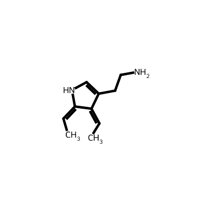 C/C=c1/c(CCN)c[nH]/c1=C/C